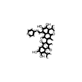 CC1=C(C2=C(C)C(=O)c3c(c(/C=N/c4ccncc4)c(O)c(O)c3C(C)C)C2=O)C(=O)c2cc(O)c(O)c(C(C)C)c2C1=O